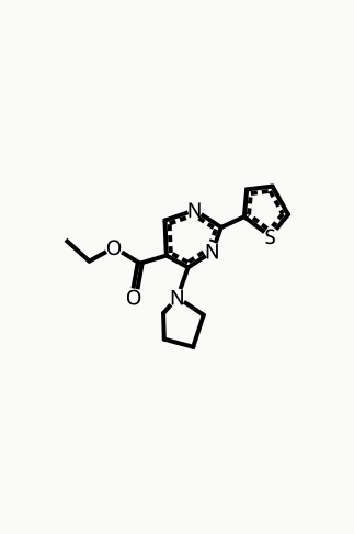 CCOC(=O)c1cnc(-c2cccs2)nc1N1CCCC1